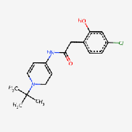 CC(C)(C)N1C=CC(NC(=O)Cc2ccc(Cl)cc2O)=CC1